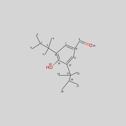 CC(C)C(C)(C)c1cc(C=O)cc(C(C)(C)C(C)C)c1O